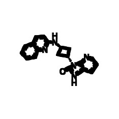 O=c1[nH]c2cccnc2n1[C@H]1C[C@H](Nc2ccc3ccccc3n2)C1